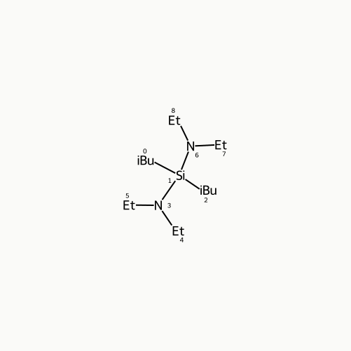 CCC(C)[Si](C(C)CC)(N(CC)CC)N(CC)CC